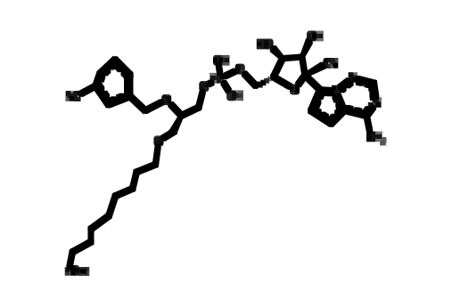 CCCCCCCCCCCCCCCCCCOC[C@H](CO[PH](O)(O)OC[C@H]1O[C@@](C#N)(c2ccc3c(N)ncnn23)[C@H](O)[C@@H]1O)OCc1cccc(C#N)c1